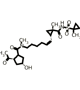 CC(=O)[C@@H]1C[C@@H](O)CC1C(=O)N(C)CCCC/C=C\[C@@H]1C[C@]1(C)C(=O)NS(=O)(=O)C1(C)CC1